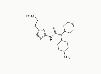 CCOC(=O)CSc1nnc(NC(=O)N(C2CCOCC2)C2CCC(C)CC2)s1